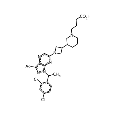 CC(=O)c1nn(C(C)c2ccc(Cl)cc2Cl)c2nc(N3CC(C4CCCN(CCCC(=O)O)C4)C3)cnc12